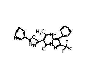 Cc1[nH]c2c(-c3ccccc3)c(C(F)(F)F)nn2c(=O)c1-c1nnc(-c2cccnc2)o1